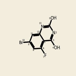 Oc1nc(O)c2c(F)cc(Br)cc2n1